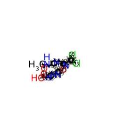 CC(=O)NCC1CCN(Cc2cc(Oc3ccc(N4CCN(CC(=O)O)CC4)nc3)nc(-c3cc(Cl)cc(Cl)c3)c2)CC1